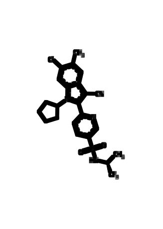 Cc1cc2c(C#N)c(-c3ccc(S(=O)(=O)N[C@@H](C)C(F)(F)F)cn3)n(C3CCCC3)c2cc1Cl